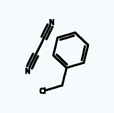 ClCc1ccccc1.N#CC#N